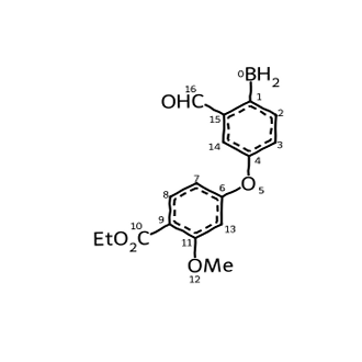 Bc1ccc(Oc2ccc(C(=O)OCC)c(OC)c2)cc1C=O